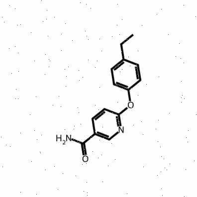 CCc1ccc(Oc2ccc(C(N)=O)cn2)cc1